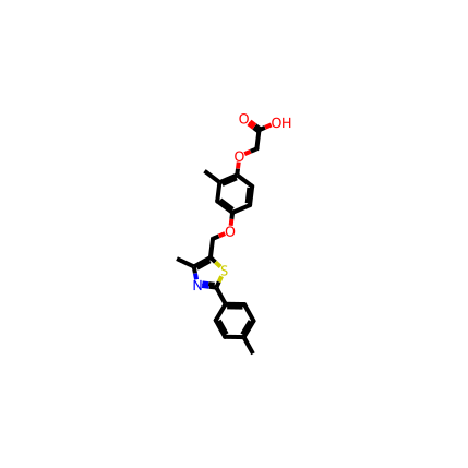 Cc1ccc(-c2nc(C)c(COc3ccc(OCC(=O)O)c(C)c3)s2)cc1